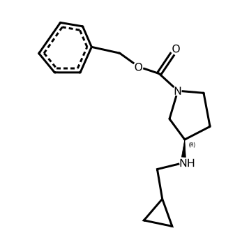 O=C(OCc1ccccc1)N1CC[C@@H](NCC2CC2)C1